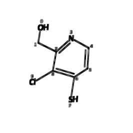 OCc1nccc(S)c1Cl